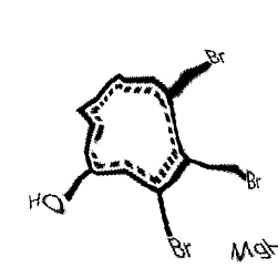 Oc1ccc(Br)c(Br)c1Br.[MgH2]